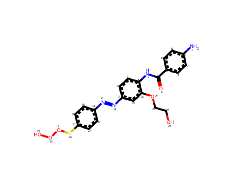 Nc1ccc(C(=O)Nc2ccc(/N=N/c3ccc(SOOO)cc3)cc2OCCO)cc1